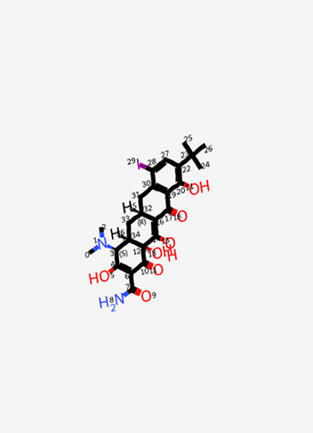 CN(C)[C@@H]1C(O)=C(C(N)=O)C(=O)[C@@]2(O)C(O)=C3C(=O)c4c(O)c(C(C)(C)C)cc(I)c4C[C@H]3C[C@@H]12